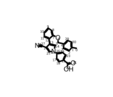 Cc1ccc(COc2ccccc2-c2cn(-c3ccc(C(=O)O)cc3)cc2C#N)cc1